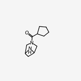 O=C(C1CCCC1)N1CC2CC(C1)N2